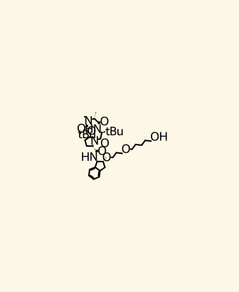 C[C@H](C(=O)N[C@H](C(=O)N1CCC[C@H]1C(=O)N[C@H]1c2ccccc2C[C@H]1OCCCOCCCCCO)C(C)(C)C)N(C)C(=O)OC(C)(C)C